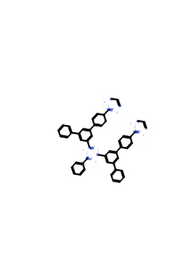 C1=CC(c2ncccn2)CC=C1c1cc(-c2ccccc2)cc(-c2nc(-c3ccccc3)nc(-c3cc(-c4ccccc4)cc(-c4ccc(-c5ncccn5)cc4)c3)n2)c1